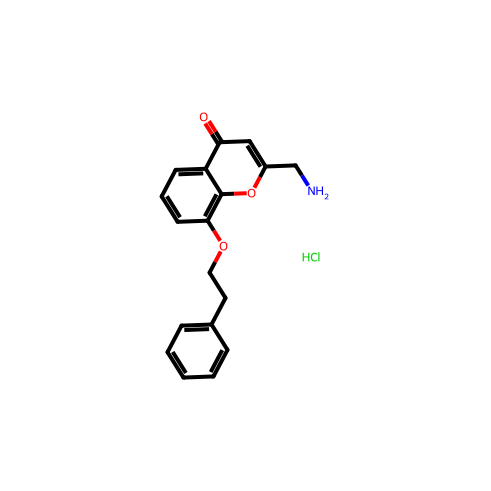 Cl.NCc1cc(=O)c2cccc(OCCc3ccccc3)c2o1